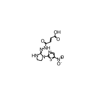 O=C(O)C=CC(=O)NN=C1NCCN1c1ncc([N+](=O)[O-])s1